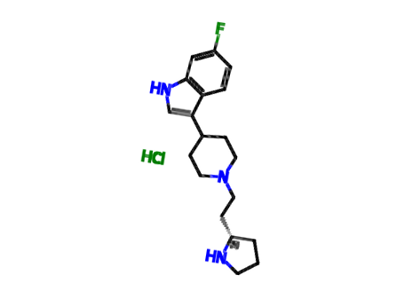 Cl.Fc1ccc2c(C3CCN(CC[C@@H]4CCCN4)CC3)c[nH]c2c1